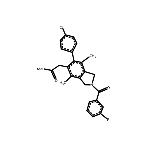 COC(=O)Cc1c(C)c2c(c(C)c1-c1ccc(Cl)cc1)CN(C(=O)c1cccc(F)c1)C2